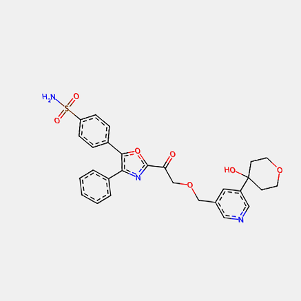 NS(=O)(=O)c1ccc(-c2oc(C(=O)COCc3cncc(C4(O)CCOCC4)c3)nc2-c2ccccc2)cc1